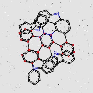 c1ccc(C2=C(c3ccccc3-c3ccccc3-c3ccccc3)C(c3c(-c4ccccc4)ccc4c3-c3c5c(ccc3=N4)=c3ccccc3=N5)N(c3ccccc3)N(c3ccccc3-c3ccccc3-c3ccccc3)N2c2c(-c3ccccc3)ccc3c2-c2c4c(ccc2=N3)=c2ccccc2=N4)cc1